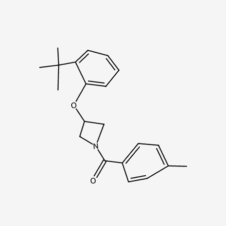 Cc1ccc(C(=O)N2CC(Oc3ccccc3C(C)(C)C)C2)cc1